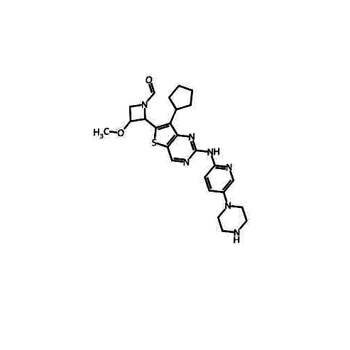 COC1CN(C=O)C1c1sc2cnc(Nc3ccc(N4CCNCC4)cn3)nc2c1C1CCCC1